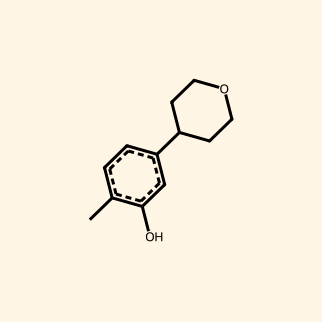 Cc1ccc(C2CCOCC2)cc1O